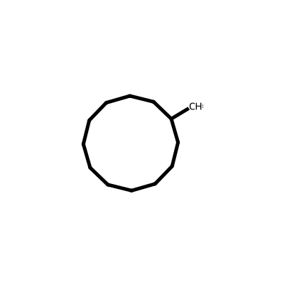 [CH]C1CCCCCCCCCCC1